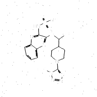 CCCS(=O)(=O)Nc1nc2ccccc2nc1OC(C1CCN(c2nnnn2C)CC1)C(F)(F)F